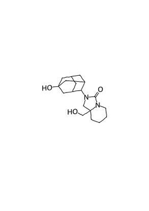 O=C1N(C2C3CC4CC2CC(O)(C4)C3)CC2(CO)CCCCN12